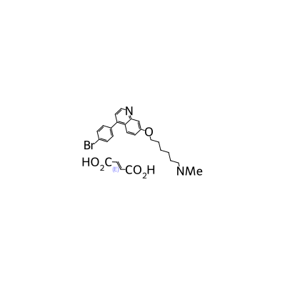 CNCCCCCCOc1ccc2c(-c3ccc(Br)cc3)ccnc2c1.O=C(O)/C=C/C(=O)O